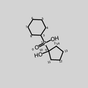 O=P(O)(C1CCCCC1)C1(O)CCCC1